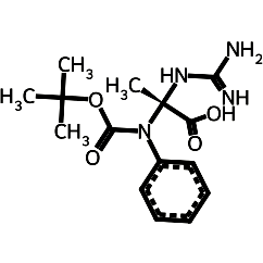 CC(C)(C)OC(=O)N(c1ccccc1)[C@](C)(NC(=N)N)C(=O)O